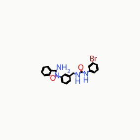 NC1c2ccccc2ON1c1cccc(CNC(=O)Nc2cccc(Br)c2)c1